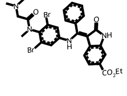 CCOC(=O)c1ccc2c(c1)NC(=O)C2=C(Nc1cc(Br)c(N(C)C(=O)CN(C)C)c(Br)c1)c1ccccc1